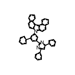 c1ccc(-c2cc(-c3nc(-c4ccccc4)cc(-c4ccccc4)n3)cc(-n3c4ccc5ccccc5c4c4c5ccccc5ccc43)c2)cc1